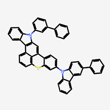 c1ccc(-c2cccc(-n3c4ccccc4c4c5cccc6c5c(cc43)-c3ccc(-n4c5ccccc5c5cc(-c7ccccc7)ccc54)cc3S6)c2)cc1